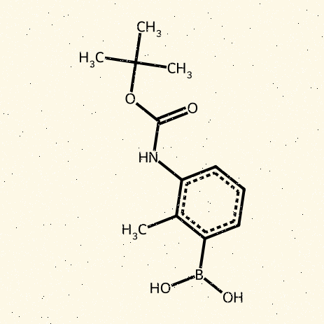 Cc1c(NC(=O)OC(C)(C)C)cccc1B(O)O